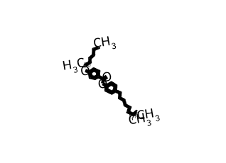 CCCCCC[C@@H](C)Oc1ccc(C(=O)Oc2ccc(CCCCCC[C@@H](C)CC)cc2)cc1